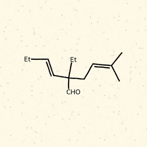 CC/C=C/C(C=O)(CC)CC=C(C)C